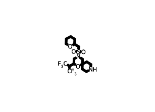 O=S(=O)(CC1CCCCO1)N1CC(C(C(F)(F)F)C(F)(F)F)OC2(CCNCC2)C1